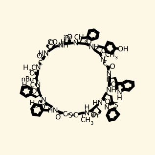 CCCC[C@H]1C(=O)N(C)CC(=O)N[C@@H](CC(=O)O)C(=O)N[C@@H](C(C)C)C(=O)N(C)[C@@H](Cc2ccccc2)C(=O)N[C@@H](Cc2ccc(O)cc2)C(=O)N(C)CC(=O)N[C@@H](Cc2c[nH]c3ccccc23)C(=O)N[C@@H](Cc2nc3ccccc3s2)C(=O)N[C@@H](CC(C)C)C(=O)N[C@H](C)CSCC(=O)N[C@@H](Cc2ccccc2)C(=O)N(C)[C@@H](Cc2ccccc2)C(=O)N1C